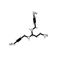 CCCC#CCOC(CCC#N)OCC#CCCC